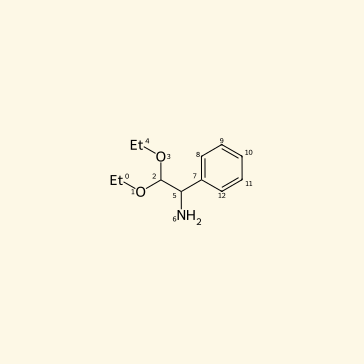 CCOC(OCC)C(N)c1ccccc1